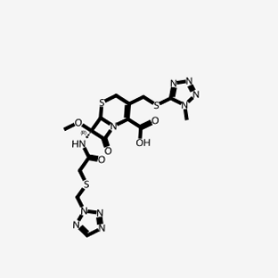 CO[C@]1(NC(=O)CSCn2ncnn2)C(=O)N2C(C(=O)O)=C(CSc3nnnn3C)CSC21